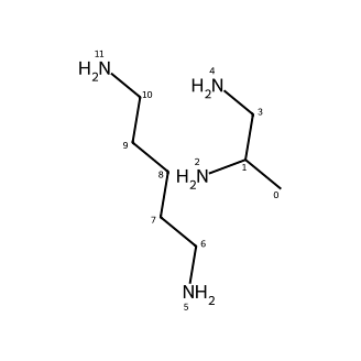 CC(N)CN.NCCCCCN